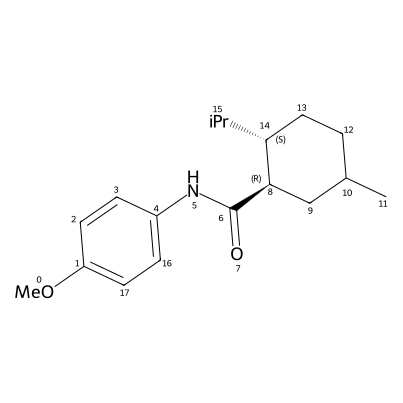 COc1ccc(NC(=O)[C@@H]2CC(C)CC[C@H]2C(C)C)cc1